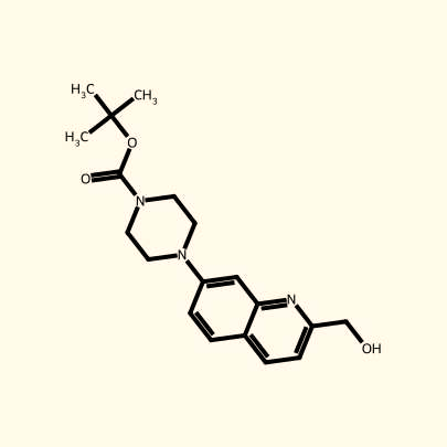 CC(C)(C)OC(=O)N1CCN(c2ccc3ccc(CO)nc3c2)CC1